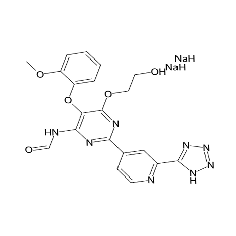 COc1ccccc1Oc1c(NC=O)nc(-c2ccnc(-c3nnn[nH]3)c2)nc1OCCO.[NaH].[NaH]